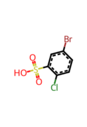 O=S(=O)(O)c1cc(Br)ccc1Cl